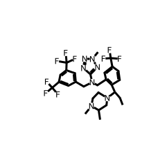 CCC(c1ccc(C(F)(F)F)cc1CN(Cc1cc(C(F)(F)F)cc(C(F)(F)F)c1)c1nnn(C)n1)N1CCN(C)C(C)C1